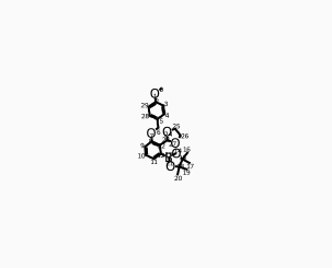 COc1ccc(COc2cccc(B3OC(C)(C)C(C)(C)O3)c2C2OCCO2)cc1